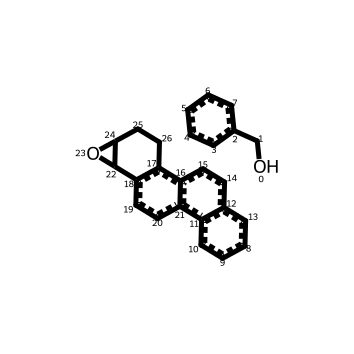 OCc1ccccc1.c1ccc2c(c1)ccc1c3c(ccc12)C1OC1CC3